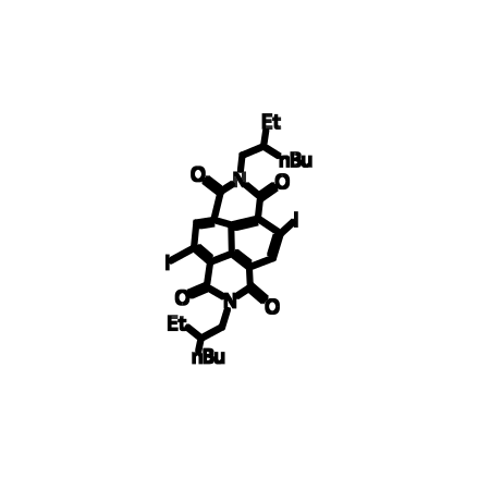 CCCCC(CC)CN1C(=O)c2cc(I)c3c4c(cc(I)c(c24)C1=O)C(=O)N(CC(CC)CCCC)C3=O